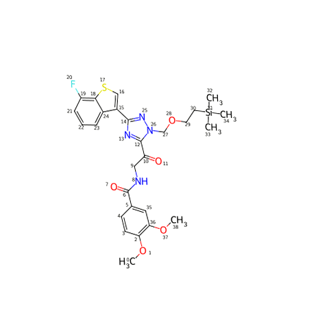 COc1ccc(C(=O)NCC(=O)c2nc(-c3csc4c(F)cccc34)nn2COCC[Si](C)(C)C)cc1OC